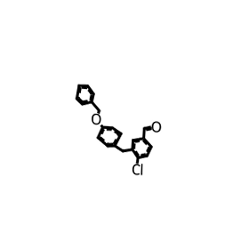 O=Cc1ccc(Cl)c(Cc2ccc(OCc3ccccc3)cc2)c1